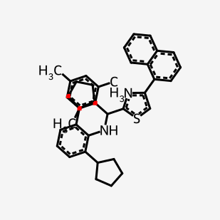 Cc1cc(C)c(C(Nc2c(C3CCCC3)cccc2C2CCCC2)c2nc(-c3cccc4ccccc34)cs2)c(C)c1